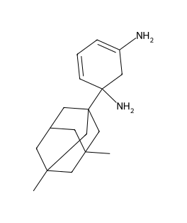 CC12CC3CC(C)(C1)CC(C1(N)C=CC=C(N)C1)(C3)C2